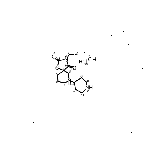 CCN1C(=O)SC2(CCCN(C3CCNCC3)C2)C1=O.Cl.Cl